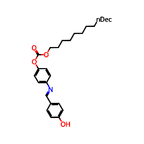 CCCCCCCCCCCCCCCCCCOC(=O)Oc1ccc(N=Cc2ccc(O)cc2)cc1